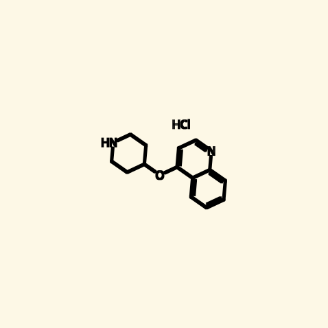 Cl.c1ccc2c(OC3CCNCC3)ccnc2c1